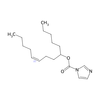 CCCC/C=C\CCC(CCCCC)OC(=O)n1ccnc1